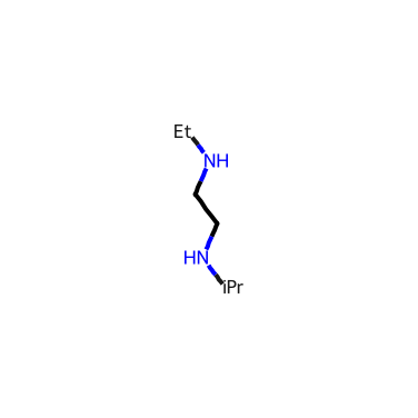 [CH2]CNCCNC(C)C